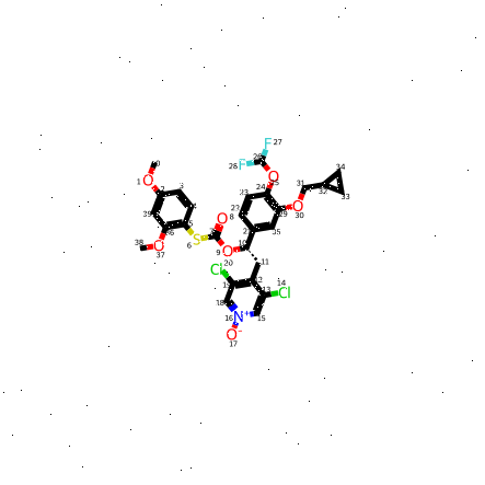 COc1ccc(SC(=O)O[C@@H](Cc2c(Cl)c[n+]([O-])cc2Cl)c2ccc(OC(F)F)c(OCC3CC3)c2)c(OC)c1